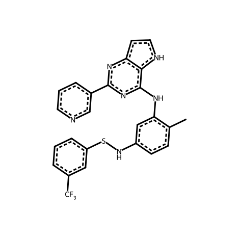 Cc1ccc(NSc2cccc(C(F)(F)F)c2)cc1Nc1nc(-c2cccnc2)nc2cc[nH]c12